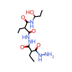 CCC(O)NC(=O)C(CC)C(=O)NNC(=O)C(CC)C(=O)NN